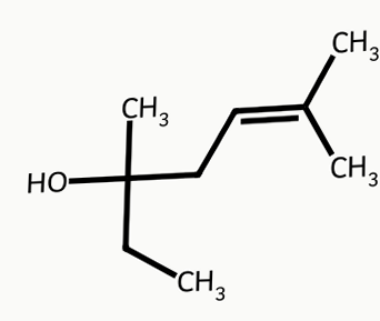 CCC(C)(O)CC=C(C)C